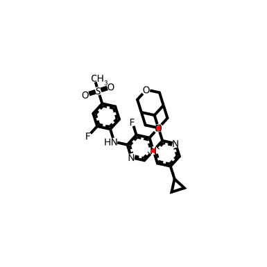 CS(=O)(=O)c1ccc(Nc2ncnc(OC3C4COCC3CN(c3ncc(C5CC5)cn3)C4)c2F)c(F)c1